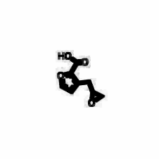 O=C(O)c1occc1CC1CO1